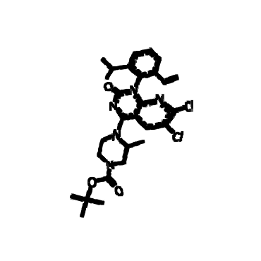 C=Cc1cccc(C(C)C)c1-n1c(=O)nc(N2CCN(C(=O)OC(C)(C)C)CC2C)c2cc(Cl)c(Cl)nc21